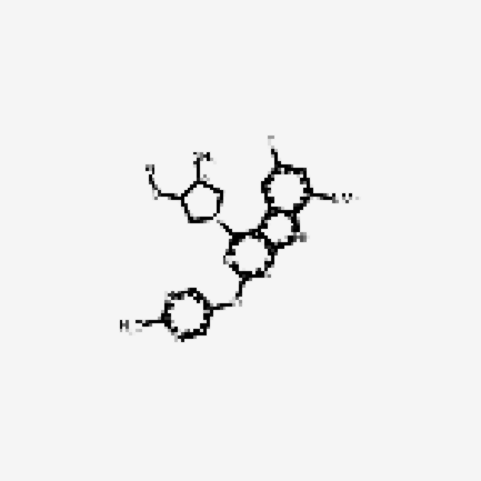 CCOC1CN(c2nc(Oc3cnc(C)nc3)nc3[nH]c4c(NC)cc(F)cc4c23)C[C@@H]1N